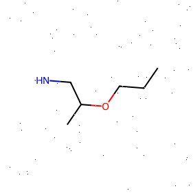 CCCOC(C)C[NH]